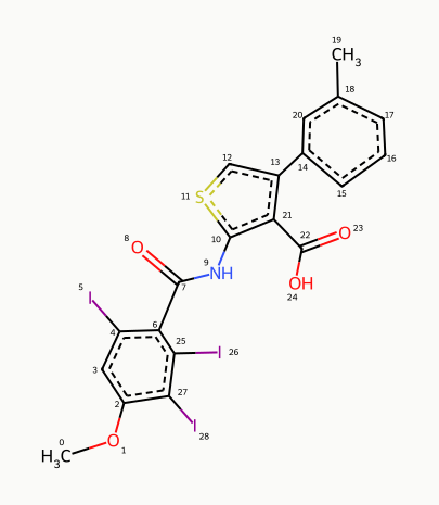 COc1cc(I)c(C(=O)Nc2scc(-c3cccc(C)c3)c2C(=O)O)c(I)c1I